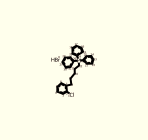 Br.Clc1ccccc1CCCCC[PH](c1ccccc1)(c1ccccc1)c1ccccc1